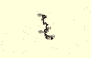 CN(CCN(C)c1cncc(C(C)(C)C)c1)CC1CC1CNc1cc(C(C)(C)C)c(CC(C)(C)c2ccnc(NC3CCC3)c2)cn1